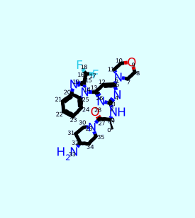 C[C@H](Nc1nc(N2CCOCC2)cc(-n2c(C(F)F)nc3ccccc32)n1)C(=O)N1CCC(N)CC1